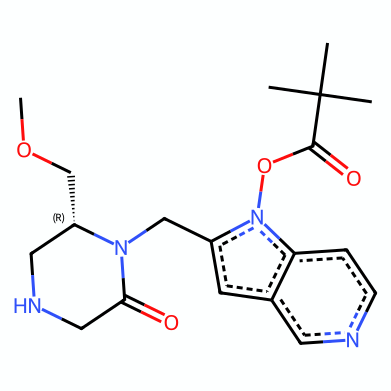 COC[C@H]1CNCC(=O)N1Cc1cc2cnccc2n1OC(=O)C(C)(C)C